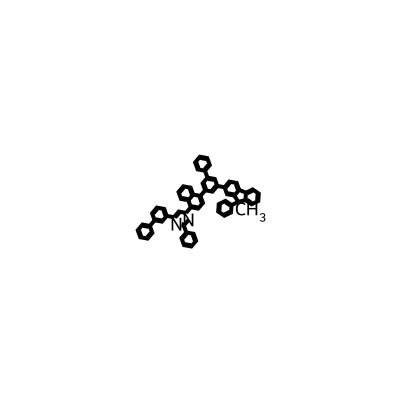 CC1(c2ccccc2)c2ccccc2-c2ccc(-c3cc(-c4ccccc4)cc(-c4ccc(-c5cc(-c6cccc(-c7ccccc7)c6)nc(-c6ccccc6)n5)c5ccccc45)c3)cc21